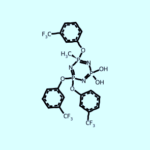 C[P@@]1(Oc2cccc(C(F)(F)F)c2)=NP(O)(O)=NP(Oc2cccc(C(F)(F)F)c2)(Oc2cccc(C(F)(F)F)c2)=N1